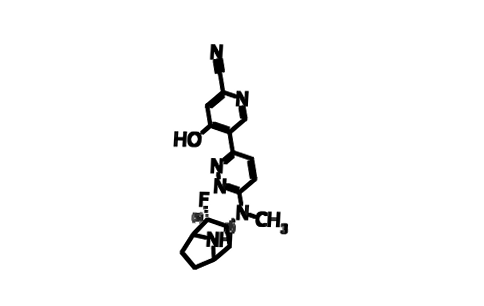 CN(c1ccc(-c2cnc(C#N)cc2O)nn1)[C@@H]1CC2CCC(N2)[C@@H]1F